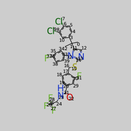 CC(C)(c1ccc(Cl)c(Cl)c1)c1cnc(SCc2ccc(C(=O)NCC(F)(F)F)cc2F)n1-c1ccc(F)cc1